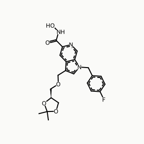 CC1(C)OC[C@H](COCc2cn(Cc3ccc(F)cc3)c3cnc(C(=O)NO)cc23)O1